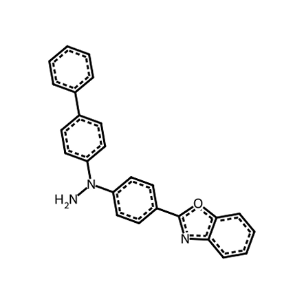 NN(c1ccc(-c2ccccc2)cc1)c1ccc(-c2nc3ccccc3o2)cc1